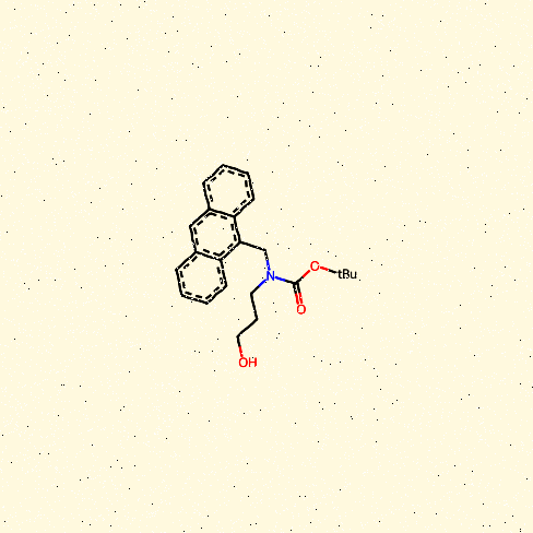 CC(C)(C)OC(=O)N(CCCO)Cc1c2ccccc2cc2ccccc12